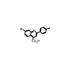 O=C(O)c1cc(-c2ccc(I)cc2)nc2cc(Br)ccc12